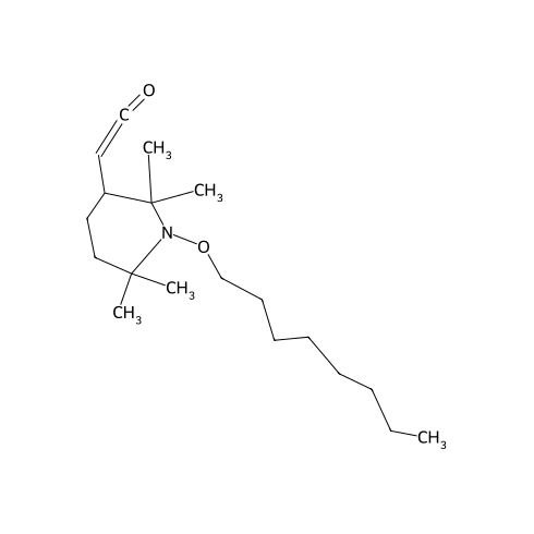 CCCCCCCCON1C(C)(C)CCC(C=C=O)C1(C)C